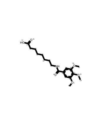 COc1cc(C(=O)NCCCCCCCC(=O)O)cc(OC)c1OC